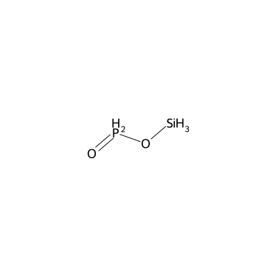 O=[PH2]O[SiH3]